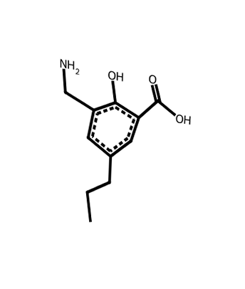 CCCc1cc(CN)c(O)c(C(=O)O)c1